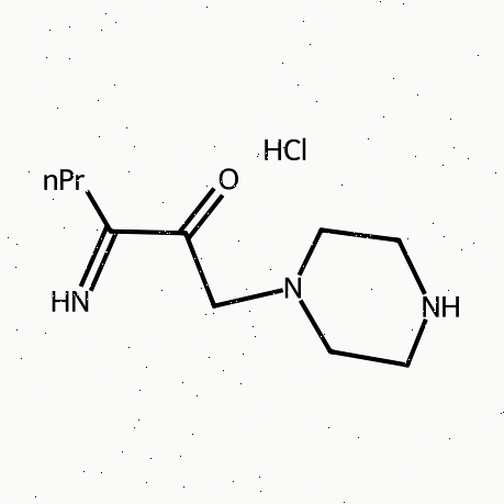 CCCC(=N)C(=O)CN1CCNCC1.Cl